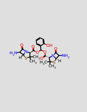 CC1(C)S[C@@H]2C(N)C(=O)N2[C@H]1C(=O)OC(OC(=O)[C@@H]1N2C(=O)C(N)[C@H]2SC1(C)C)c1ccccc1O